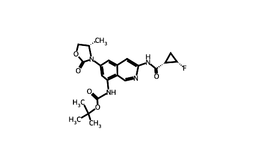 C[C@H]1COC(=O)N1c1cc(NC(=O)OC(C)(C)C)c2cnc(NC(=O)[C@@H]3C[C@@H]3F)cc2c1